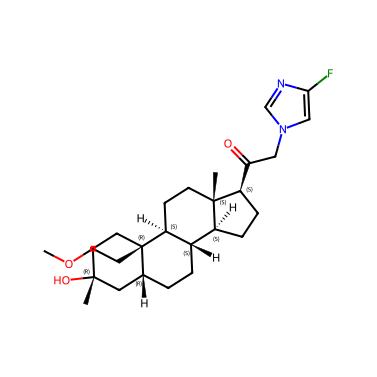 COCC[C@]12CC[C@@](C)(O)C[C@H]1CC[C@H]1[C@@H]3CC[C@H](C(=O)Cn4cnc(F)c4)[C@@]3(C)CC[C@@H]12